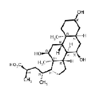 C[C@H](C[C@@H](C)[C@H]1CC[C@H]2[C@@H]3[C@H](O)C[C@@H]4C[C@H](O)CC[C@]4(C)[C@H]3C[C@H](O)[C@]12C)C(=O)O